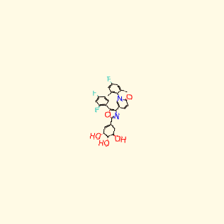 Cc1cc(F)cc(C)c1-n1cc(-c2nc(C3=C[C@@H](O)[C@@H](O)[C@H](O)C3)oc2-c2ccc(F)cc2F)ccc1=O